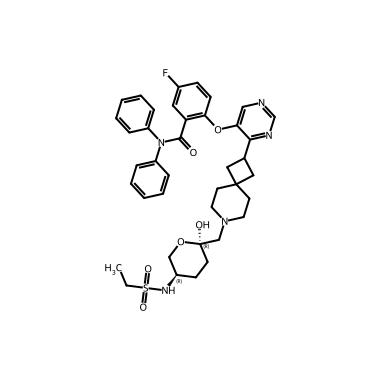 CCS(=O)(=O)N[C@@H]1CC[C@](O)(CN2CCC3(CC2)CC(c2ncncc2Oc2ccc(F)cc2C(=O)N(c2ccccc2)c2ccccc2)C3)OC1